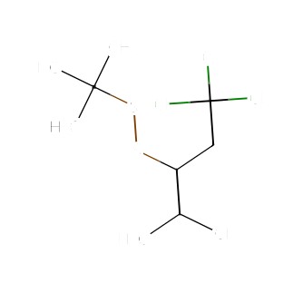 CC(C)C(CC(Cl)(Cl)Cl)SSC(C)(C)C